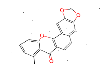 Cc1cccc2oc3c(ccc4cc5c(cc43)OCO5)c(=O)c12